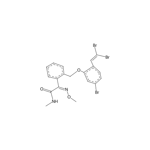 CNC(=O)C(=NOC)c1ccccc1COc1cc(Br)ccc1C=C(Br)Br